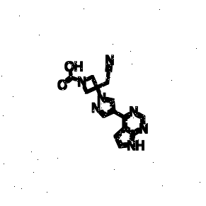 N#CCC1(n2cc(-c3ncnc4[nH]ccc34)cn2)CN(C(=O)O)C1